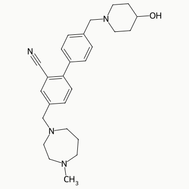 CN1CCCN(Cc2ccc(-c3ccc(CN4CCC(O)CC4)cc3)c(C#N)c2)CC1